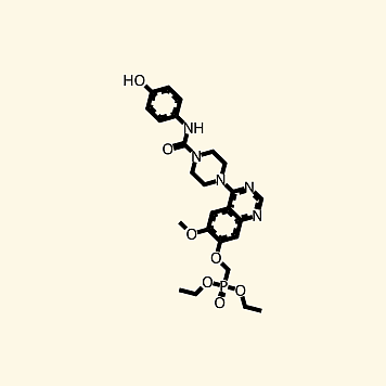 CCOP(=O)(COc1cc2ncnc(N3CCN(C(=O)Nc4ccc(O)cc4)CC3)c2cc1OC)OCC